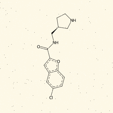 O=C(NC[C@H]1CCNC1)c1cc2cc(Cl)ccc2o1